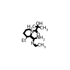 C/C=N\C(N)=C1[C@@H](CC)CCCN1C(=O)C(C)(C)O